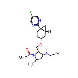 COC(=O)N1[C@H](C)C[C@H](NCC(C)C)[C@@H]1CO[C@@H]1CC[C@]2(c3ncc(F)cn3)C[C@@H]2C1